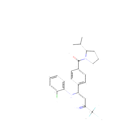 CC(C)C1CCCN1C(=O)c1ccc(/C(=C/C(=N)C(F)(F)F)Nc2ccccc2Cl)cc1